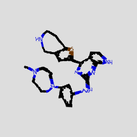 CN1CCN(c2cccc(Nc3nc(-c4cc5c(s4)CCNC5)c4cc[nH]c4n3)c2)CC1